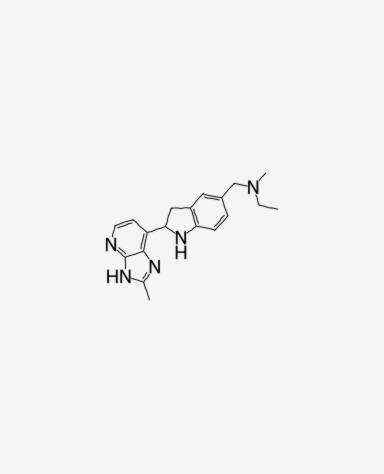 CCN(C)Cc1ccc2c(c1)CC(c1ccnc3[nH]c(C)nc13)N2